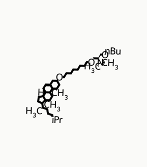 CCCCOC[C@H](COCCCCCCCCO[C@H]1CC[C@@]2(C)C(=CC[C@H]3C4CCC([C@H](C)CCCC(C)C)[C@@]4(C)CCC32)C1)N(C)C